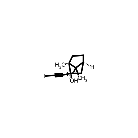 CC1(C)[C@H]2CC[C@]1(C)[C@@](O)(C#CI)C2